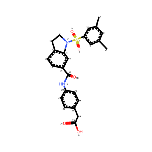 Cc1cc(C)cc(S(=O)(=O)N2CCc3ccc(C(=O)Nc4ccc(CC(=O)O)cc4)cc32)c1